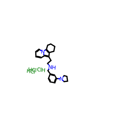 Cl.Cl.Cl.c1cc(CNCCc2c3c(n4ccccc24)CCCC3)cc(N2CCCC2)c1